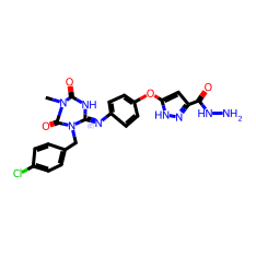 Cn1c(=O)[nH]/c(=N\c2ccc(Oc3cc(C(=O)NN)n[nH]3)cc2)n(Cc2ccc(Cl)cc2)c1=O